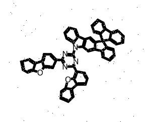 c1ccc2c(c1)-c1ccccc1C21c2ccccc2-c2cc3c(cc21)c1ccccc1n3-c1nc(-c2ccc3c(c2)oc2ccccc23)nc(-c2cccc3c2oc2ccccc23)n1